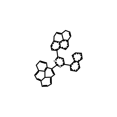 C1=CC2=CC=C3CC=CC4=C3C2C(=C1)C=C4c1nc(-c2cccc3ccccc23)cc(-c2ccc3c4c5c(ccc24)C=CCC5=CC3)n1